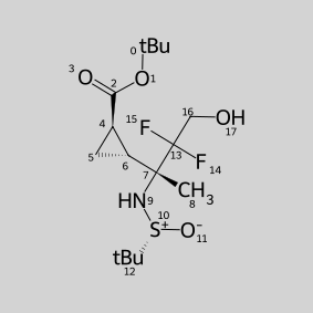 CC(C)(C)OC(=O)[C@@H]1C[C@H]1[C@@](C)(N[S@+]([O-])C(C)(C)C)C(F)(F)CO